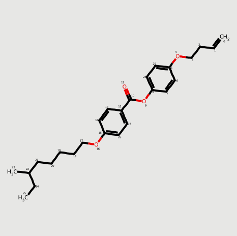 C=CCCOc1ccc(OC(=O)c2ccc(OCCCCCC(C)CC)cc2)cc1